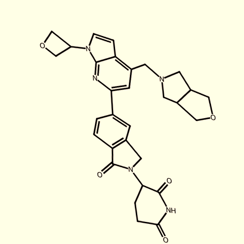 O=C1CCC(N2Cc3cc(-c4cc(CN5CC6COCC6C5)c5ccn(C6COC6)c5n4)ccc3C2=O)C(=O)N1